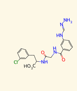 NN=CNc1cccc(C(=O)NCC(=O)NC(Cc2cccc(Cl)c2)C(=O)O)c1